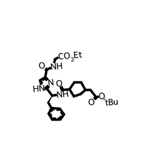 CCOC(=O)CNC(=O)c1c[nH]c([C@H](Cc2ccccc2)NC(=O)C2CCC(CC(=O)OC(C)(C)C)CC2)n1